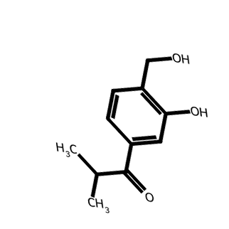 CC(C)C(=O)c1ccc(CO)c(O)c1